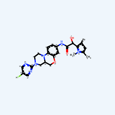 Cc1cc(C(C)C)c(C(O)C(=O)Nc2ccc3c(c2)OCC2CN(c4ncc(F)cn4)CCN32)n1C